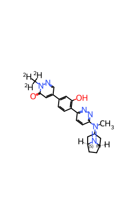 [2H]C([2H])([2H])n1ncc(-c2ccc(-c3ccc(N(C)C4C[C@H]5CC[C@@H](C4)N5)nn3)c(O)c2)cc1=O